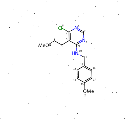 COCCc1c(Cl)ncnc1NCc1ccc(OC)cc1